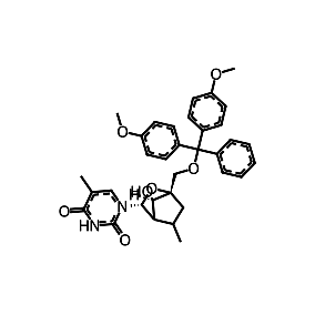 COc1ccc(C(OC[C@]23CC(C)C([C@H](n4cc(C)c(=O)[nH]c4=O)O2)[C@H]3O)(c2ccccc2)c2ccc(OC)cc2)cc1